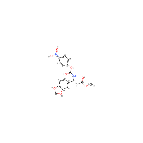 COC(=O)C[C@@H](NC(=O)Oc1ccc([N+](=O)[O-])cc1)c1ccc2c(c1)OCO2